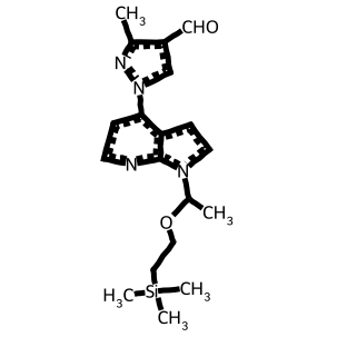 Cc1nn(-c2ccnc3c2ccn3C(C)OCC[Si](C)(C)C)cc1C=O